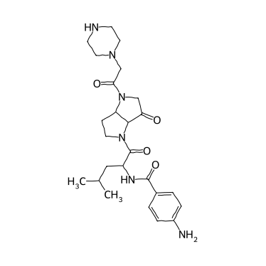 CC(C)CC(NC(=O)c1ccc(N)cc1)C(=O)N1CCC2C1C(=O)CN2C(=O)CN1CCNCC1